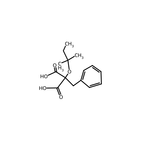 CCC(C)(C)OC(Cc1ccccc1)(C(=O)O)C(=O)O